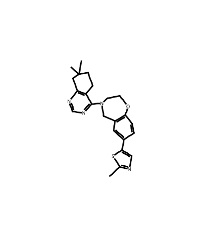 Cc1ncc(-c2ccc3c(c2)CN(c2ncnc4c2CCC(C)(C)C4)CCO3)s1